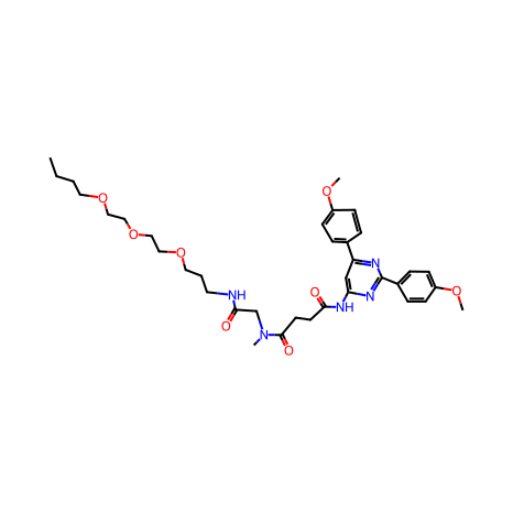 CCCCOCCOCCOCCCNC(=O)CN(C)C(=O)CCC(=O)Nc1cc(-c2ccc(OC)cc2)nc(-c2ccc(OC)cc2)n1